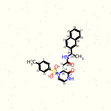 Cc1ccc(S(=O)(=O)N2C=CNC(=O)[C@H]2CC(=O)N[C@H](C)c2ccc3ccccc3c2)cc1